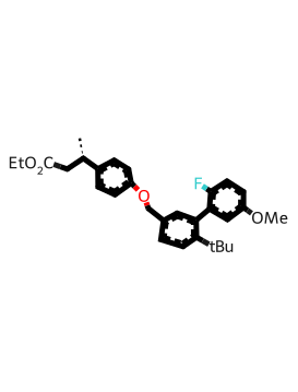 CCOC(=O)C[C@H](C)c1ccc(OCc2ccc(C(C)(C)C)c(-c3cc(OC)ccc3F)c2)cc1